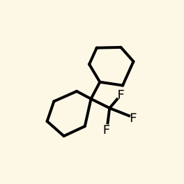 FC(F)(F)C1(C2CCCCC2)CCCCC1